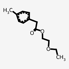 CCOCCOC(=O)Cc1ccc(C)cc1